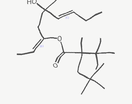 C/C=C(\CC(C)(O)/C=C/CC)OC(=O)C(C)(CC(C)(C)C)C(C)(C)C